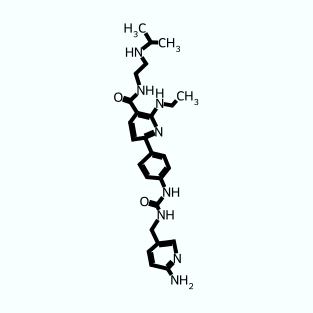 CCNc1nc(-c2ccc(NC(=O)NCc3ccc(N)nc3)cc2)ccc1C(=O)NCCNC(C)C